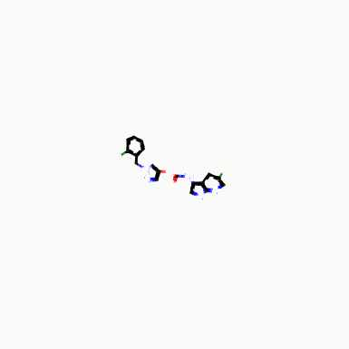 O=C(Nc1c[nH]c2ncc(Br)cc12)Oc1cnn(Cc2ccccc2F)c1